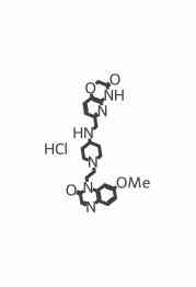 COc1ccc2ncc(=O)n(CCN3CCC(NCc4ccc5c(n4)NC(=O)CO5)CC3)c2c1.Cl